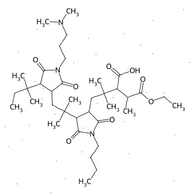 CCCCN1C(=O)C(CC(C)(C)C(C(=O)O)C(C)C(=O)OCC)C(C(C)(C)CC2C(=O)N(CCCN(C)C)C(=O)C2C(C)(C)CC)C1=O